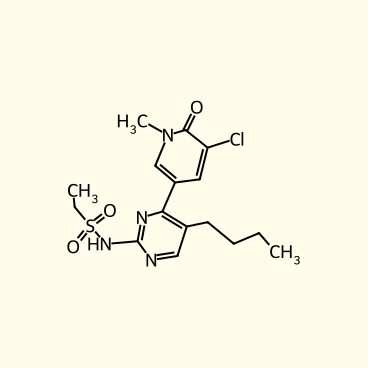 CCCCc1cnc(NS(=O)(=O)CC)nc1-c1cc(Cl)c(=O)n(C)c1